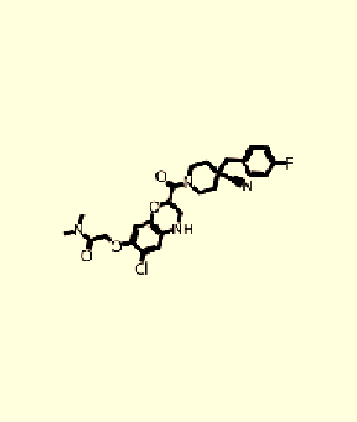 CN(C)C(=O)COc1cc2c(cc1Cl)NCC(C(=O)N1CCC(C#N)(Cc3ccc(F)cc3)CC1)O2